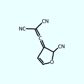 N#CC(=C=C1C=COC1C#N)C#N